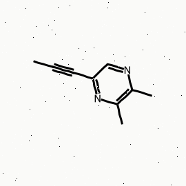 CC#Cc1cnc(C)c(C)n1